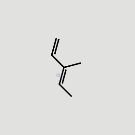 [CH2]/C(C=C)=C\C